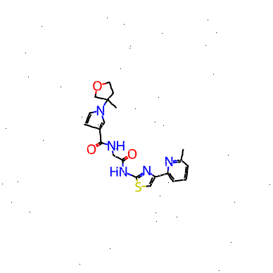 Cc1cccc(-c2csc(NC(=O)CNC(=O)c3ccn(C4(C)CCOC4)c3)n2)n1